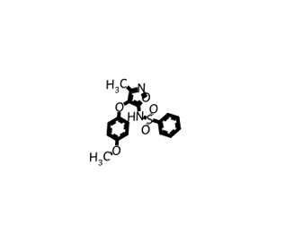 COc1ccc(Oc2c(C)noc2NS(=O)(=O)c2ccccc2)cc1